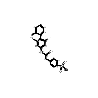 CCS(=O)(=O)c1ccc(CC(=O)Nc2cc(F)c(-c3ccccc3C)c(F)c2)cc1